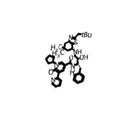 CC(C)(C)Cc1nc2c(s1)[C@@H](NC[C@@H](O)[C@H](Cc1ccccc1)NC(=O)c1cc(-c3ccccn3)c(=O)n(C3CCCC3)c1)CC(C)(C)C2